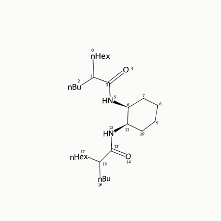 CCCCCCC(CCCC)C(=O)N[C@H]1CCCC[C@H]1NC(=O)C(CCCC)CCCCCC